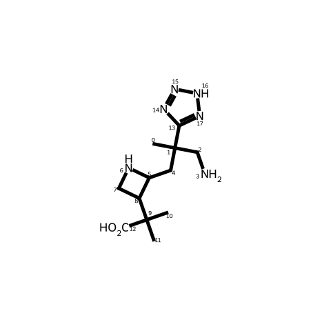 CC(CN)(CC1NCC1C(C)(C)C(=O)O)c1nn[nH]n1